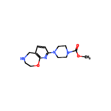 COC(=O)N1CCN(c2ccc3c(n2)OCCNC3)CC1